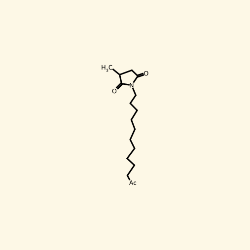 CC(=O)CCCCCCCCCCN1C(=O)CC(C)C1=O